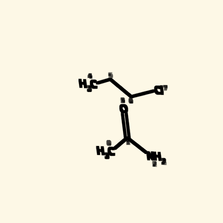 CC(N)=O.CCCCl